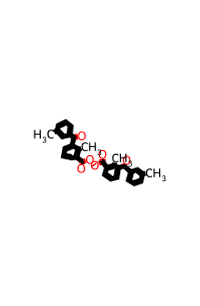 Cc1cccc(C(=O)c2cccc(C(=O)OOC(=O)c3cccc(C(=O)c4cccc(C)c4)c3C)c2C)c1